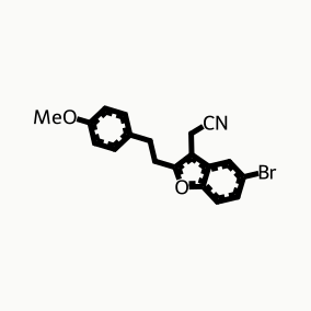 COc1ccc(CCc2oc3ccc(Br)cc3c2CC#N)cc1